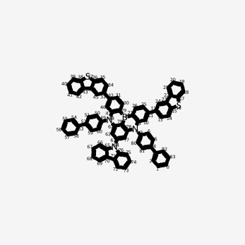 c1ccc(-c2ccc(N3c4cc(-c5ccc6sc7ccccc7c6c5)ccc4B4c5ccc(-c6ccc7sc8ccccc8c7c6)cc5N(c5ccc(-c6ccccc6)cc5)c5cc(-n6c7ccccc7c7ccccc76)cc3c54)cc2)cc1